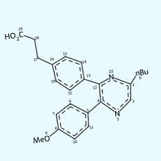 CCCCc1cnc(-c2ccc(OC)cc2)c(-c2ccc(CCC(=O)O)cc2)n1